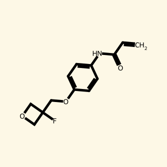 C=CC(=O)Nc1ccc(OCC2(F)COC2)cc1